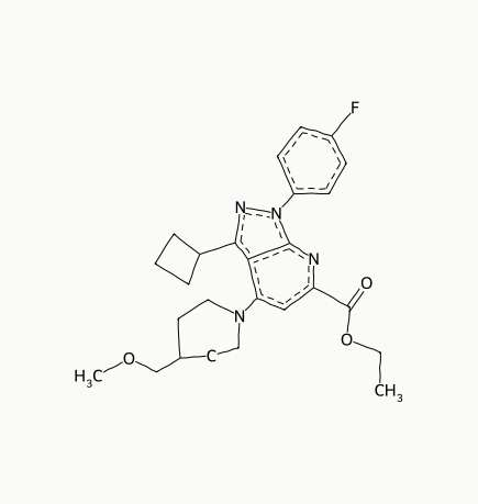 CCOC(=O)c1cc(N2CCC(COC)CC2)c2c(C3CCC3)nn(-c3ccc(F)cc3)c2n1